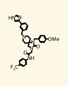 COc1ccc(CN2C(=O)N(CC(=O)Nc3ccc(C(F)(F)F)cc3)CC23CCN(Cc2cccc(-c4c[nH]cn4)c2)CC3)cc1